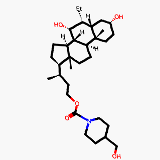 CC[C@H]1[C@@H](O)[C@@H]2[C@H](CC[C@]3(C)[C@@H]([C@H](C)CCOC(=O)N4CCC(CO)CC4)CC[C@@H]23)[C@@]2(C)CC[C@@H](O)C[C@@H]12